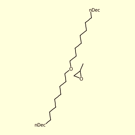 CC1CO1.CCCCCCCCCCCCCCCCCCOCCCCCCCCCCCCCCCCCC